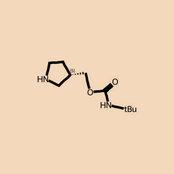 CC(C)(C)NC(=O)OC[C@H]1CCNC1